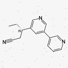 CC[C@@H](CC#N)c1cncc(-c2cccnc2)c1